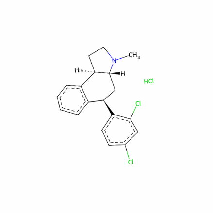 CN1CC[C@@H]2c3ccccc3[C@H](c3ccc(Cl)cc3Cl)C[C@H]21.Cl